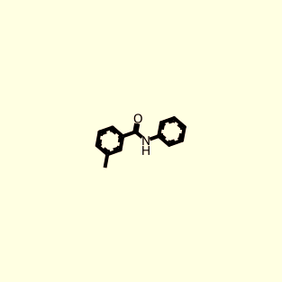 Cc1cccc(C(=O)Nc2ccccc2)c1